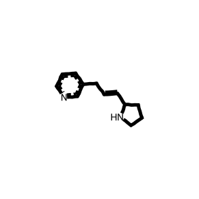 C(=C\C1CCCN1)/Cc1cccnc1